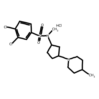 CC1CCN(C2CCC(N(C)S(=O)(=O)c3ccc(Cl)c(Cl)c3)C2)CC1.Cl